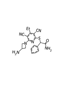 CCc1c(C#N)c(SC(C(N)=O)c2ccccc2)nc(N2CC(N)C2)c1C#N